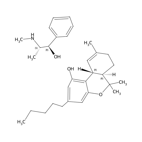 CCCCCc1cc(O)c2c(c1)OC(C)(C)[C@@H]1CCC(C)=C[C@@H]21.CN[C@@H](C)[C@H](O)c1ccccc1